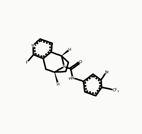 O=C(Nc1ccc(C(F)(F)F)c(Br)c1)N1[C@@H]2CC[C@H]1c1ccnc(F)c1C2